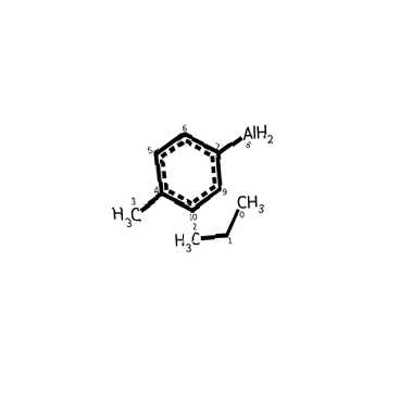 CCC.Cc1cc[c]([AlH2])cc1